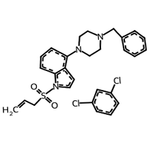 C=CCS(=O)(=O)n1ccc2c(N3CCN(Cc4ccccc4)CC3)cccc21.Clc1cccc(Cl)c1